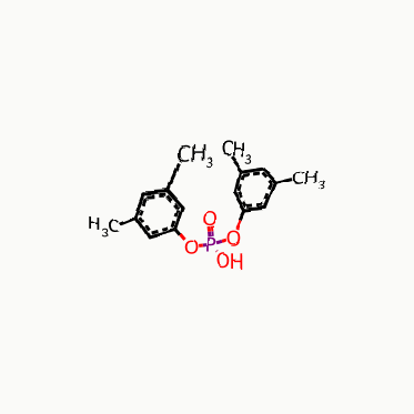 Cc1cc(C)cc(OP(=O)(O)Oc2cc(C)cc(C)c2)c1